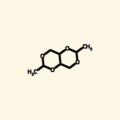 CC1OCC2OC(C)OCC2O1